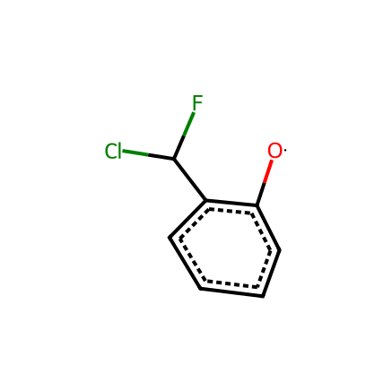 [O]c1ccccc1C(F)Cl